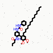 CCCCCCCCCCCCCCCCc1cc(OC)c(OC)cc1-c1cc(NC(=O)Nc2ccccc2)ccc1NC(=O)CCC